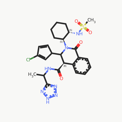 CC(NC(=O)[C@@H]1c2ccccc2C(=O)N([C@H]2CCCC[C@@H]2NS(C)(=O)=O)C1C1C=CC(Cl)=C1)c1nn[nH]n1